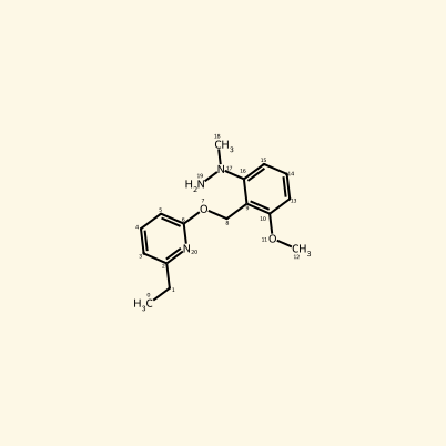 CCc1cccc(OCc2c(OC)cccc2N(C)N)n1